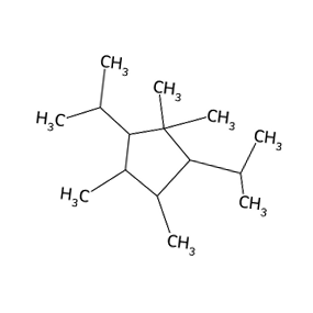 CC(C)C1C(C)C(C)C(C(C)C)C1(C)C